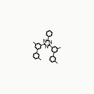 Cc1cccc(-c2cc(C)cc(-c3nc(-c4ccccc4)nc(-c4cc(C)cc(-c5cccc(C)c5)c4)n3)c2)c1